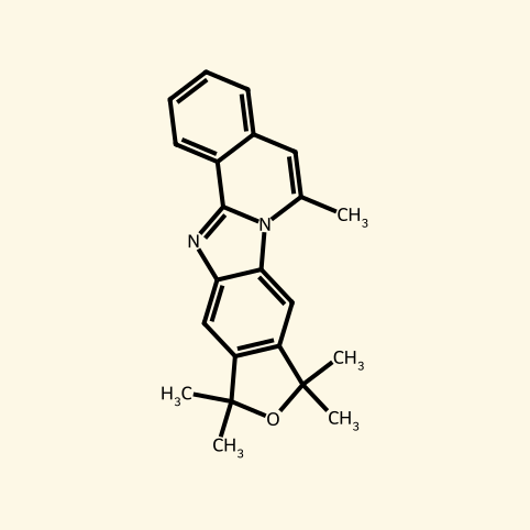 Cc1cc2ccccc2c2nc3cc4c(cc3n12)C(C)(C)OC4(C)C